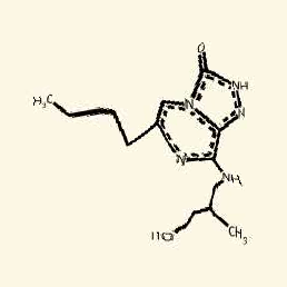 CCCCc1cn2c(=O)[nH]nc2c(NC(C)CO)n1